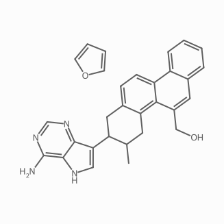 CC1Cc2c(ccc3c2c(CO)cc2ccccc23)CC1c1c[nH]c2c(N)ncnc12.c1ccoc1